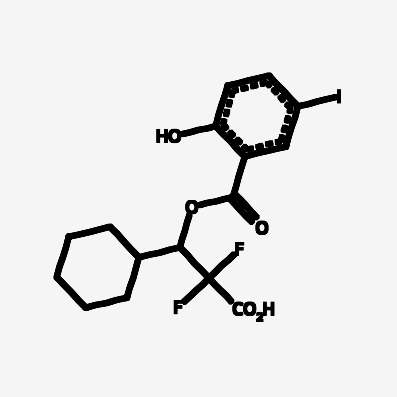 O=C(OC(C1CCCCC1)C(F)(F)C(=O)O)c1cc(I)ccc1O